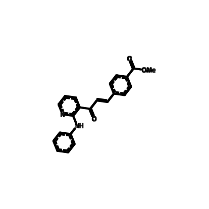 COC(=O)c1ccc(C=CC(=O)c2cccnc2Nc2ccccc2)cc1